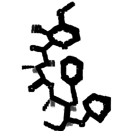 CC[C@H](Oc1ccccc1)[C@@H](Cc1ccccc1)[C@H](C)OC(=O)[C@H](C)NC(=O)c1nccc(OC)c1O